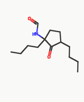 CCCCC1CCC(CCCC)(NC=O)C1=O